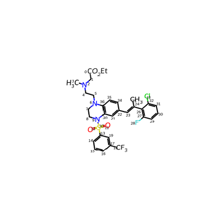 CCOC(=O)CN(C)CCN1CCN(S(=O)(=O)c2cccc(C(F)(F)F)c2)c2cc(/C=C(\C)c3c(F)cccc3Cl)ccc21